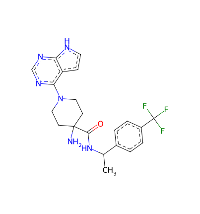 CC(NC(=O)C1(N)CCN(c2ncnc3[nH]ccc23)CC1)c1ccc(C(F)(F)F)cc1